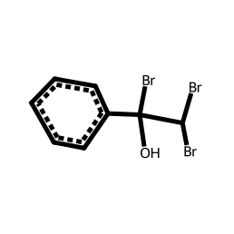 OC(Br)(c1ccccc1)C(Br)Br